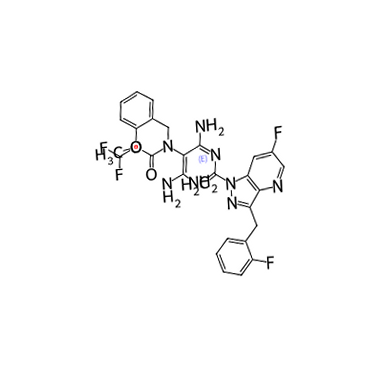 C=C(/N=C(/N)C(=C(N)N)N(Cc1ccccc1OC(F)F)C(=O)OC)n1nc(Cc2ccccc2F)c2ncc(F)cc21